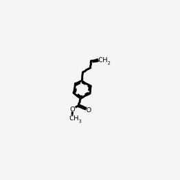 C=CCCc1ccc(C(=O)OC)cc1